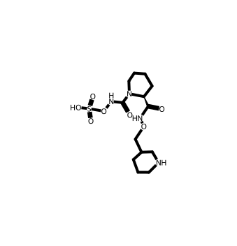 O=C(NOCC1CCCNC1)[C@@H]1CCCCN1C(=O)NOS(=O)(=O)O